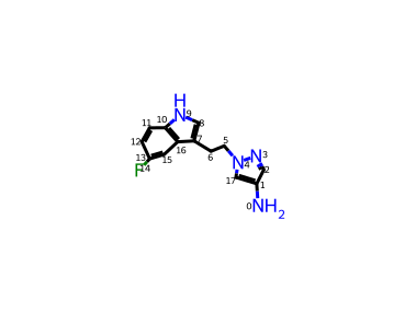 Nc1cnn(CCc2c[nH]c3ccc(F)cc23)c1